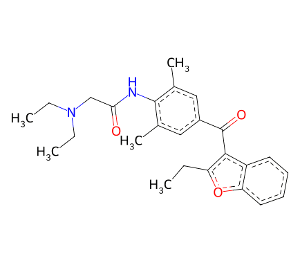 CCc1oc2ccccc2c1C(=O)c1cc(C)c(NC(=O)CN(CC)CC)c(C)c1